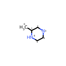 CC1C[N]CCN1